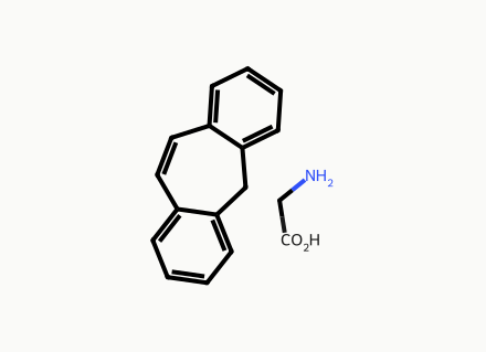 C1=Cc2ccccc2Cc2ccccc21.NCC(=O)O